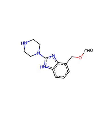 O=COCc1cccc2[nH]c(N3CCNCC3)nc12